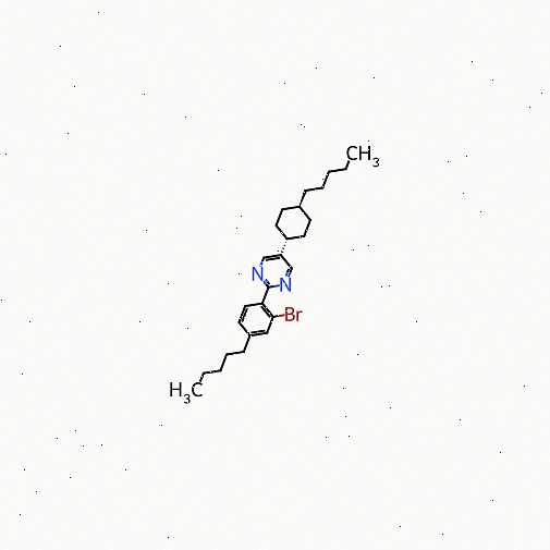 CCCCCc1ccc(-c2ncc([C@H]3CC[C@H](CCCCC)CC3)cn2)c(Br)c1